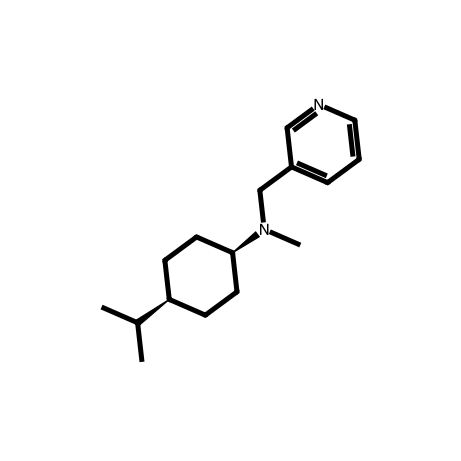 CC(C)[C@H]1CC[C@@H](N(C)Cc2cccnc2)CC1